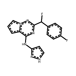 Fc1ccc(C(F)c2nc(Nc3cc[nH]n3)c3cccn3n2)cc1